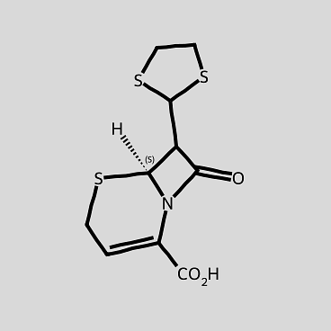 O=C(O)C1=CCS[C@H]2C(C3SCCS3)C(=O)N12